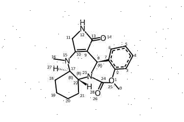 COc1ccccc1[C@@H]1C2=C(CNC2=O)N(C)[C@@H]2CCCC[C@H]2N1C(C)=O